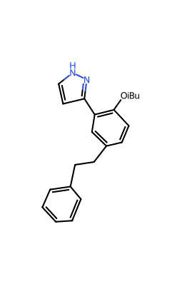 CC(C)COc1ccc(CCc2ccccc2)cc1-c1cc[nH]n1